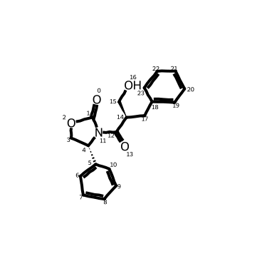 O=C1OC[C@@H](c2ccccc2)N1C(=O)[C@@H](CO)Cc1ccccc1